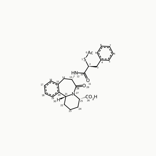 CC(=O)S[C@@H](Cc1ccccc1)C(=O)N[C@H]1Cc2ccccc2[C@H]2CCC[C@@H](C(=O)O)N2C1=O